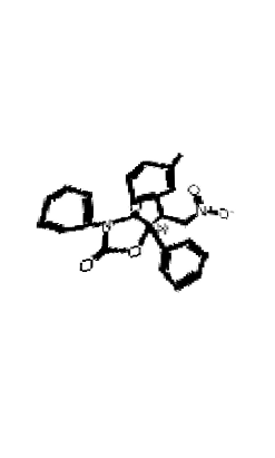 Cc1cccc(C(C[N+](=O)[O-])[C@@]2(c3ccccc3)OC(=O)N(c3ccccc3)C2=O)c1